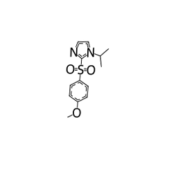 COc1ccc(S(=O)(=O)c2nccn2C(C)C)cc1